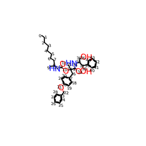 CCCCCCCCC(C)NC(=O)OC(C)(Cc1ccc(OCc2ccccc2)cc1)C(=O)NC(CO)C(O)c1ccccc1